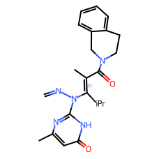 C=NN(/C(=C(\C)C(=O)N1CCc2ccccc2C1)C(C)C)c1nc(C)cc(=O)[nH]1